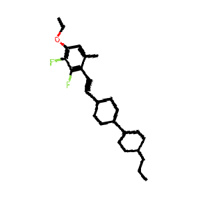 CCCC1CCC(C2CCC(C=Cc3c(C)cc(OCC)c(F)c3F)CC2)CC1